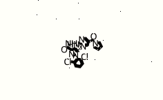 NC(=O)c1nn(-c2c(Cl)cccc2Cl)cc1Nc1ncc(C(=O)N2CCCC2)cn1